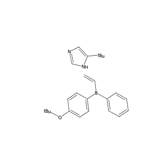 C=CB(c1ccccc1)c1ccc(OC(C)(C)C)cc1.CC(C)(C)c1cnc[nH]1